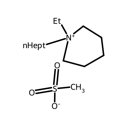 CCCCCCC[N+]1(CC)CCCCC1.CS(=O)(=O)[O-]